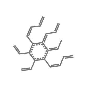 C=C/C=C\c1c(C=C)c(C=C)c(/C=C\C=C)c(=C/C=C)/c1=C\C